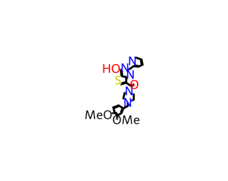 COc1ccc(CN2CCN(C(=O)c3csc4c(O)nc(-c5ccccn5)nc34)CC2)cc1OC